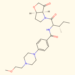 CC[C@H](C)C(NC(=O)c1ccc(N2CCN(CCOC)CC2)cc1)C(=O)N1CC[C@H]2OCC(=O)[C@H]21